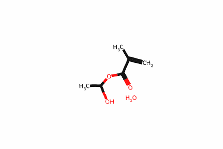 C=C(C)C(=O)OC(C)O.O